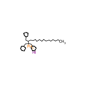 CCCCCCCCCCCCCCC(Cc1ccccc1)C(P)(Cc1ccccc1)Cc1ccccc1.I